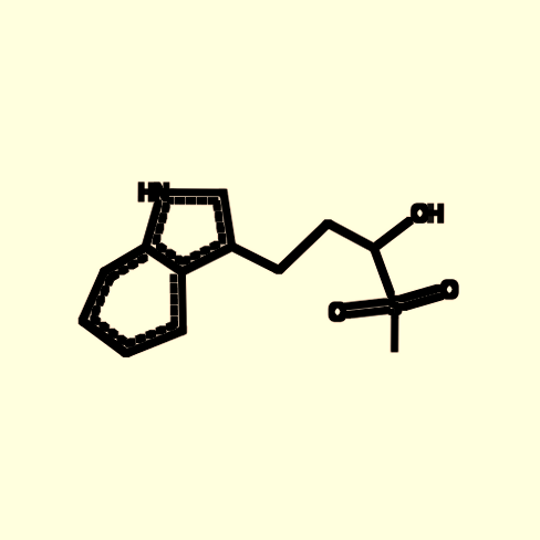 CS(=O)(=O)C(O)CCc1c[nH]c2ccccc12